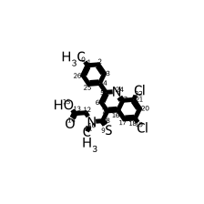 Cc1ccc(-c2cc(C(=S)N(C)CC(=O)O)c3cc(Cl)cc(Cl)c3n2)cc1